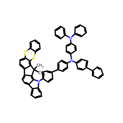 CC1(C)c2c(ccc3c2Sc2ccccc2S3)-c2ccc3c4ccccc4n(-c4ccc(-c5ccc(N(c6ccc(-c7ccccc7)cc6)c6ccc(N(c7ccccc7)c7ccccc7)cc6)cc5)cc4)c3c21